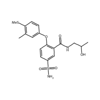 CSc1ccc(Oc2ccc(S(N)(=O)=O)cc2C(=O)NCC(C)O)cc1C